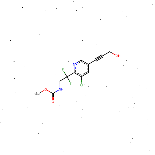 CC(C)(C)OC(=O)NCC(F)(F)c1ncc(C#CCO)cc1Cl